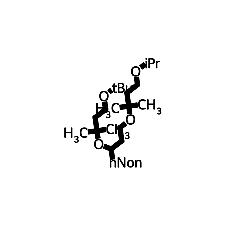 CCCCCCCCCC(CCOC(C)(C)CCOC(C)C)OC(C)(C)CCOC(C)(C)C